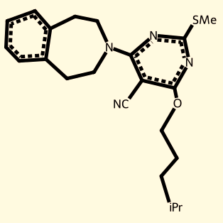 CSc1nc(OCCCC(C)C)c(C#N)c(N2CCc3ccccc3CC2)n1